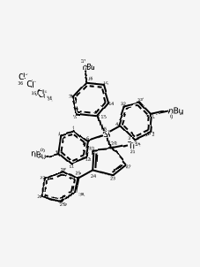 CCCCc1ccc([Si](c2ccc(CCCC)cc2)(c2ccc(CCCC)cc2)[C]2([Ti+3])C=CC(c3ccccc3)=C2)cc1.[Cl-].[Cl-].[Cl-]